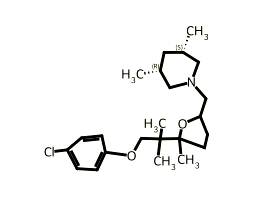 C[C@@H]1C[C@H](C)CN(CC2CCC(C)(C(C)(C)COc3ccc(Cl)cc3)O2)C1